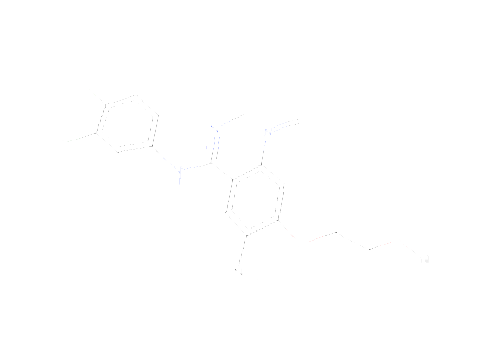 C=Nc1cc(OCCOCCC)c([N+](=O)[O-])cc1/C(=N\C)Nc1ccc(F)c(Cl)c1